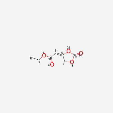 CCOC(=O)/C=C1\COC(=O)O1